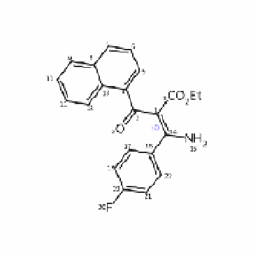 CCOC(=O)/C(C(=O)c1cccc2ccccc12)=C(\N)c1ccc(F)cc1